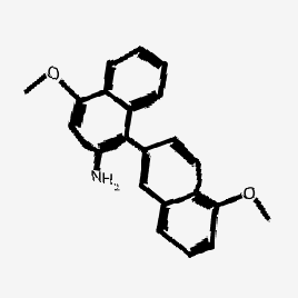 COc1cccc2cc(-c3c(N)cc(OC)c4ccccc34)ccc12